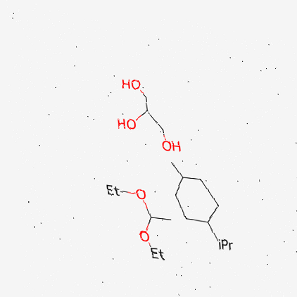 CC1CCC(C(C)C)CC1.CCOC(C)OCC.OCC(O)CO